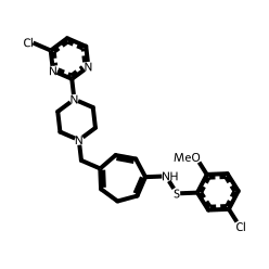 COc1ccc(Cl)cc1SNC1=CCC=C(CN2CCN(c3nccc(Cl)n3)CC2)C=C1